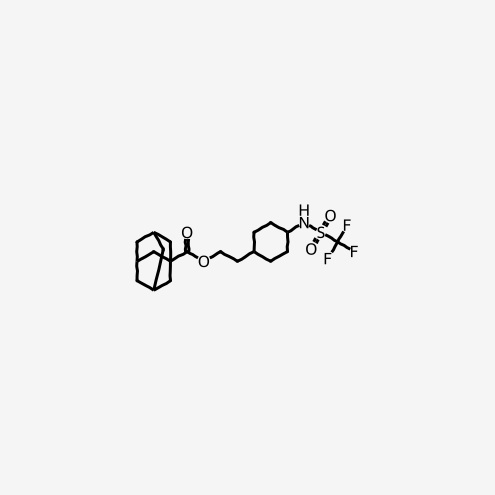 O=C(OCCC1CCC(NS(=O)(=O)C(F)(F)F)CC1)C12CC3CC(CC(C3)C1)C2